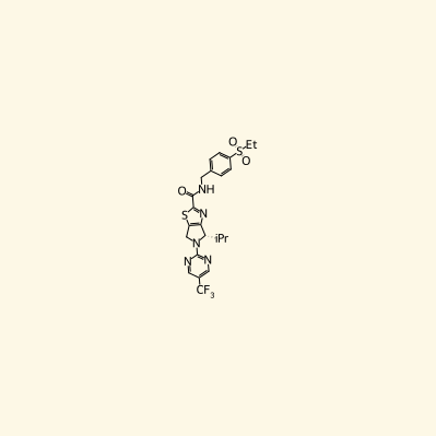 CCS(=O)(=O)c1ccc(CNC(=O)c2nc3c(s2)CN(c2ncc(C(F)(F)F)cn2)[C@H]3C(C)C)cc1